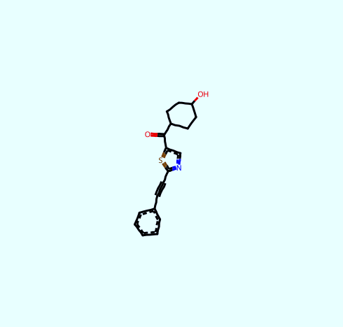 O=C(c1cnc(C#Cc2ccccc2)s1)C1CCC(O)CC1